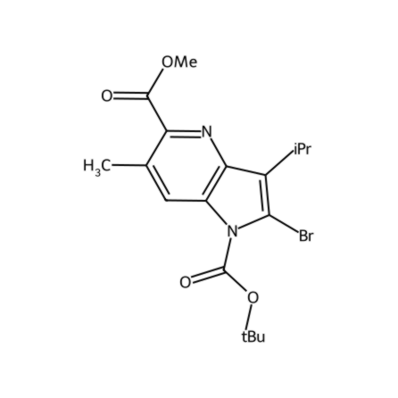 COC(=O)c1nc2c(C(C)C)c(Br)n(C(=O)OC(C)(C)C)c2cc1C